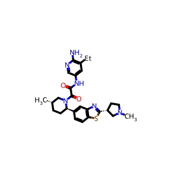 CCc1cc(NC(=O)C(=O)N2C[C@@H](C)CC[C@@H]2c2ccc3sc([C@@H]4CCN(C)C4)nc3c2)cnc1N